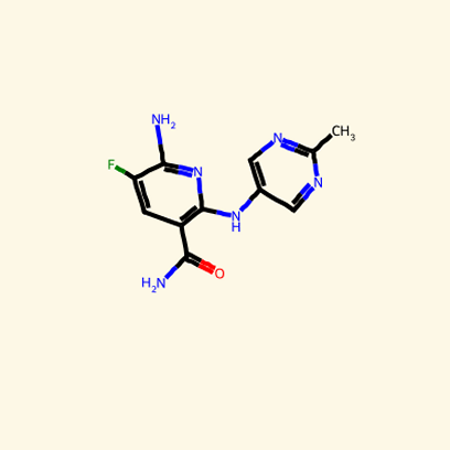 Cc1ncc(Nc2nc(N)c(F)cc2C(N)=O)cn1